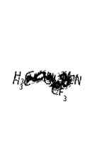 CN(C)C1CCC(c2nnc([C@]34CN(c5ccc(C#N)c6ncccc56)C[C@@]3(C(F)(F)F)C4)o2)CC1